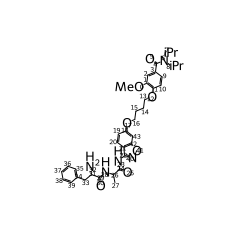 COc1cc(C(=O)N(C(C)C)C(C)C)ccc1OCCCCOc1ccc2c(NC(=O)C(C)NC(=O)C(N)Cc3ccccc3)noc2c1